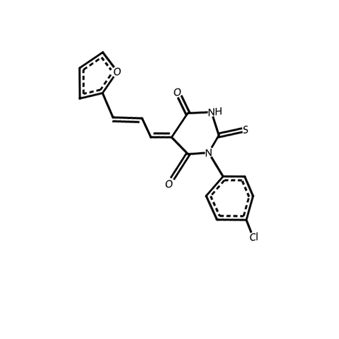 O=C1NC(=S)N(c2ccc(Cl)cc2)C(=O)/C1=C/C=C/c1ccco1